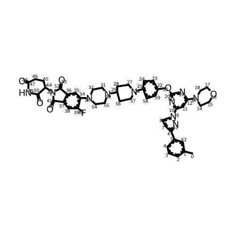 Cc1cccc(-c2ccn(-c3cc(N4CCOCC4)nc(Oc4ccc(N5CCC(N6CCN(c7cc8c(cc7F)C(=O)N(C7CCC(=O)NC7=O)C8=O)CC6)CC5)cc4)n3)n2)c1